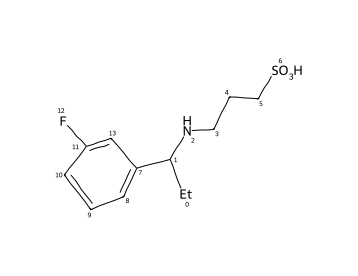 CCC(NCCCS(=O)(=O)O)c1cccc(F)c1